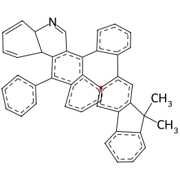 CC1(C)c2ccccc2-c2ccc(-c3ccccc3-c3c4c(c(-c5ccccc5)c5ccccc35)C3C=CC=CC3N=C4)cc21